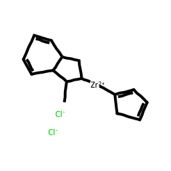 CC1[CH]([Zr+2][C]2=CC=CC2)CC2C=CC=CC21.[Cl-].[Cl-]